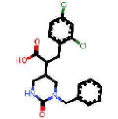 O=C(O)C(Cc1ccc(Cl)cc1Cl)C1CNC(=O)N(Cc2ccccc2)C1